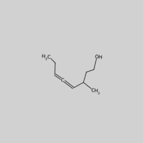 CCC=C=CC(C)CCO